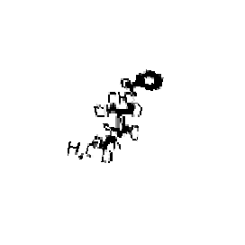 COC(=O)C1=NC2C(=O)N(C(C(=O)OCC(=O)c3ccccc3)=C(C)Cl)C2S1